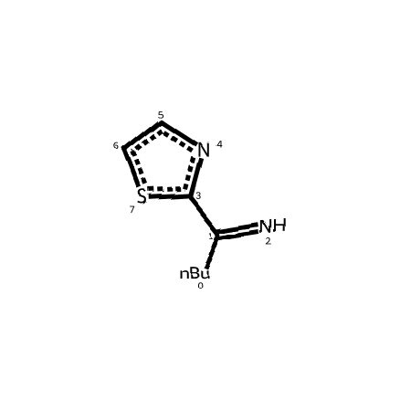 CCCCC(=N)c1nccs1